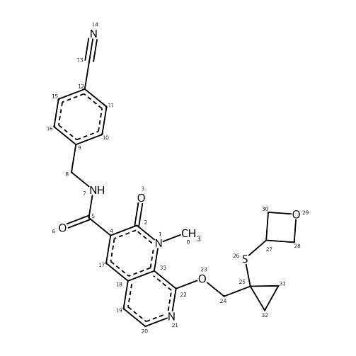 Cn1c(=O)c(C(=O)NCc2ccc(C#N)cc2)cc2ccnc(OCC3(SC4COC4)CC3)c21